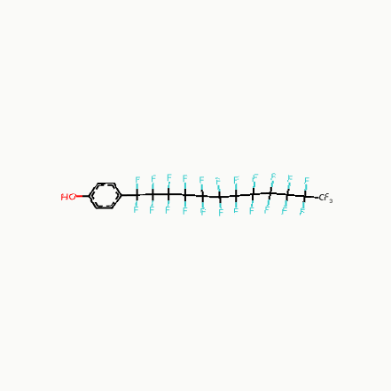 Oc1ccc(C(F)(F)C(F)(F)C(F)(F)C(F)(F)C(F)(F)C(F)(F)C(F)(F)C(F)(F)C(F)(F)C(F)(F)C(F)(F)C(F)(F)F)cc1